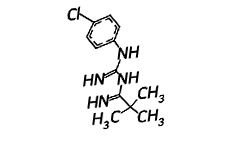 CC(C)(C)C(=N)NC(=N)Nc1ccc(Cl)cc1